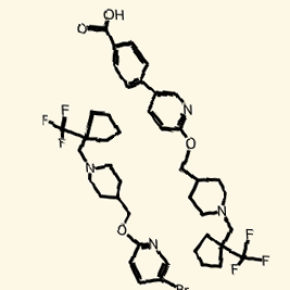 FC(F)(F)C1(CN2CCC(COc3ccc(Br)cn3)CC2)CCCC1.O=C(O)c1ccc(-c2ccc(OCC3CCN(CC4(C(F)(F)F)CCCC4)CC3)nc2)cc1